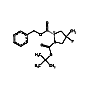 CC1(F)C[C@@H](C(=O)OCc2ccccc2)N(C(=O)OC(C)(C)C)C1